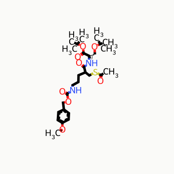 COc1ccc(COC(=O)NCCCC(CSC(C)=O)C(=O)N[C@@H](COC(C)(C)C)C(=O)OC(C)(C)C)cc1